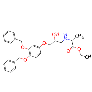 CCOC(=O)C(C)NCC(O)COc1ccc(OCc2ccccc2)c(OCc2ccccc2)c1